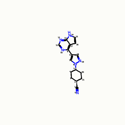 N#C[C@H]1CC[C@@H](n2cc(-c3ncnc4[nH]ccc34)cn2)CC1